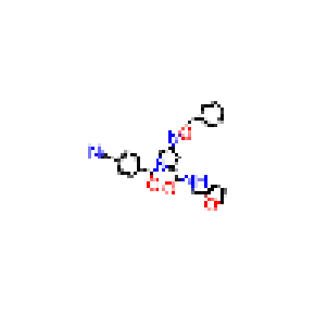 N#Cc1ccc(C(=O)N2CC(=NOCc3ccccc3)C[C@H]2C(=O)NCc2ccco2)cc1